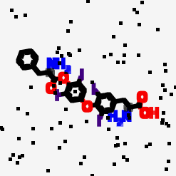 N[C@@H](Cc1cc(I)c(Oc2cc(I)c(OC(=O)[C@@H](N)Cc3ccccc3)c(I)c2)c(I)c1)C(=O)O